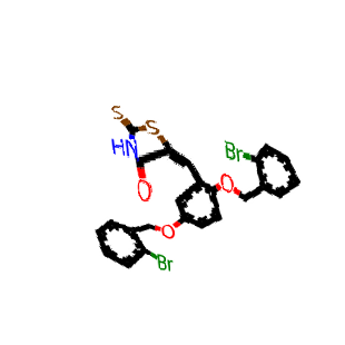 O=C1NC(=S)SC1=Cc1cc(OCc2ccccc2Br)ccc1OCc1ccccc1Br